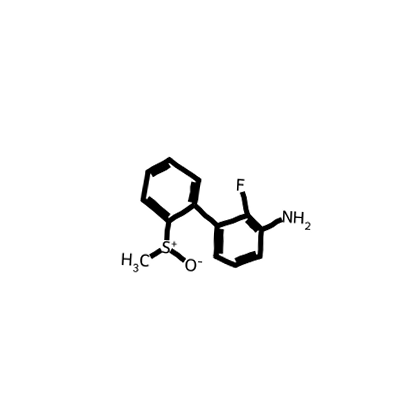 C[S+]([O-])c1ccccc1-c1cccc(N)c1F